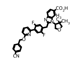 CC1(C)COCC1n1c(Cc2cc(F)c(-c3cccc(OCc4ccc(C#N)cc4)n3)cc2F)nc2ccc(C(=O)O)cc21